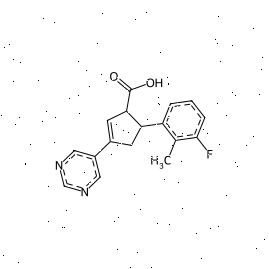 Cc1c(F)cccc1C1CC(c2cncnc2)=CC1C(=O)O